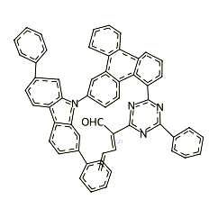 C=C/C=C(\C=O)c1nc(-c2ccccc2)nc(-c2cccc3c4ccccc4c4cc(-n5c6cc(-c7ccccc7)ccc6c6ccc(-c7ccccc7)cc65)ccc4c23)n1